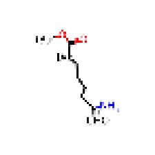 CC(C)(C)OC(=O)[AsH]CCCC[C@H](N)C=O